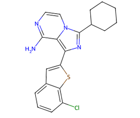 Nc1nccn2c(C3CCCCC3)nc(-c3cc4cccc(Cl)c4s3)c12